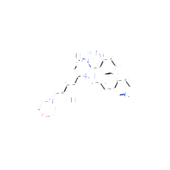 C=C/C(=C\C=C(/C)CN1CCOCC1)NC/C=C/c1cnccc1-c1ccc(N)c(C=N)c1